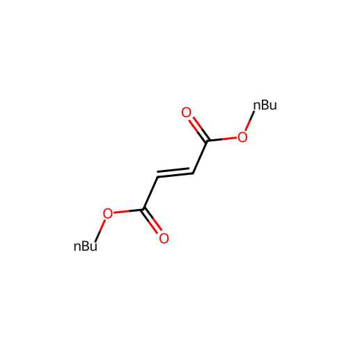 CCCCOC(=O)/C=C/C(=O)OCCCC